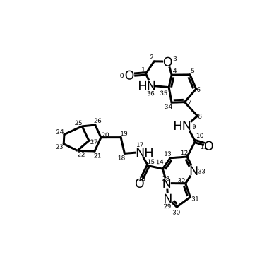 O=C1COc2ccc(CNC(=O)c3cc(C(=O)NCCC4CC5CCC(C4)C5)n4nccc4n3)cc2N1